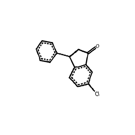 O=C1CC(c2ccccc2)c2ccc(Cl)cc21